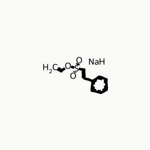 C=COS(=O)(=O)C=Cc1ccccc1.[NaH]